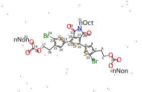 CCCCCCCCCOC(=O)OCCc1cc(-c2sc(-c3cc(CCOC(=O)OCCCCCCCCC)c(Br)s3)c3c2C(=O)N(CCCCCCCC)C3=O)sc1Br